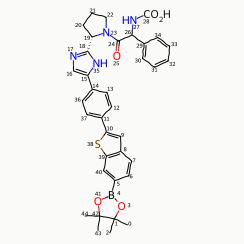 CC1(C)OB(c2ccc3cc(-c4ccc(-c5cnc([C@@H]6CCCN6C(=O)C(NC(=O)O)c6ccccc6)[nH]5)cc4)sc3c2)OC1(C)C